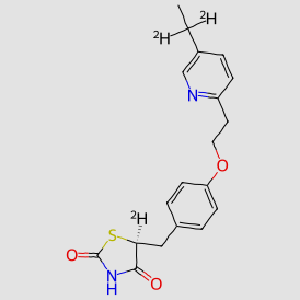 [2H]C([2H])(C)c1ccc(CCOc2ccc(C[C@]3([2H])SC(=O)NC3=O)cc2)nc1